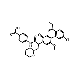 CCC(=O)c1ccc(Cl)cc1-c1cc(=O)n(C(CC2CCCCO2)C(=O)Nc2ccc(C(=O)O)cc2)cc1OC